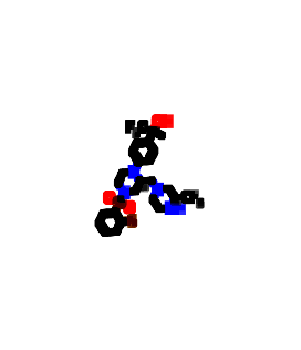 C[C@](O)(c1ccc(N2CCN(S(=O)(=O)C3=CC=CCC3=S)C[C@@H]2CN2CCN[C@H](C(F)(F)F)C2)cc1)C(F)(F)F